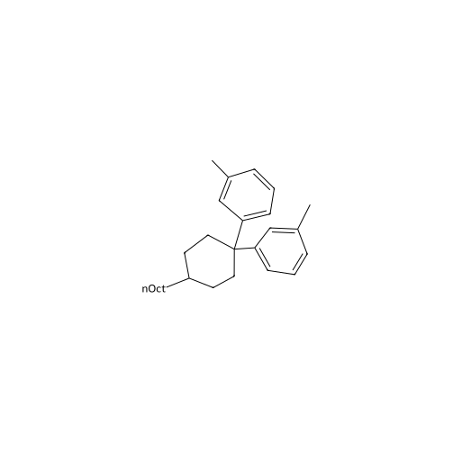 CCCCCCCCC1CCC(c2cccc(C)c2)(c2cccc(C)c2)CC1